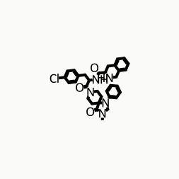 CN1CN(c2ccccc2)C2(CCN(C(=O)C(Cc3ccc(Cl)cc3)NC(=O)C3Cc4ccccc4CN3)CC2)C1=O